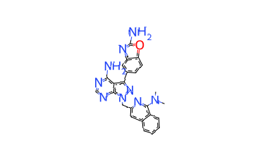 CN(C)c1nc(Cn2nc(-c3ccc4oc(N)nc4c3)c3c(N)ncnc32)cc2ccccc12